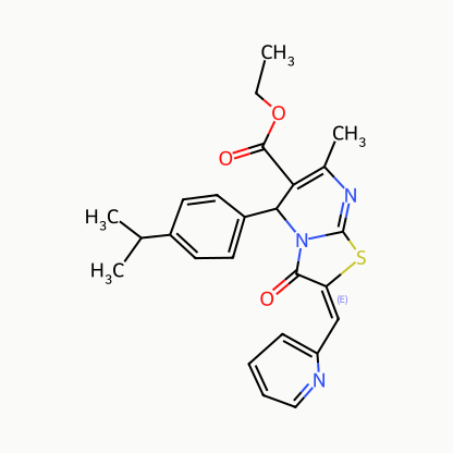 CCOC(=O)C1=C(C)N=c2s/c(=C/c3ccccn3)c(=O)n2C1c1ccc(C(C)C)cc1